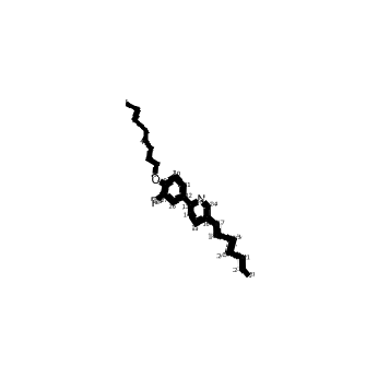 CCCCCCCCOc1ccc(-c2ccc(CCCCCCC)cn2)cc1F